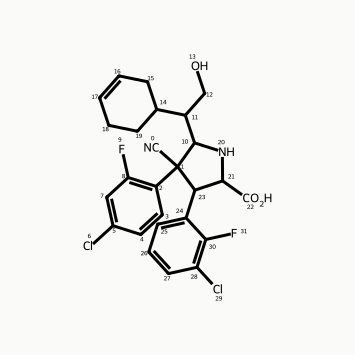 N#CC1(c2ccc(Cl)cc2F)C(C(CO)C2CC=CCC2)NC(C(=O)O)C1c1cccc(Cl)c1F